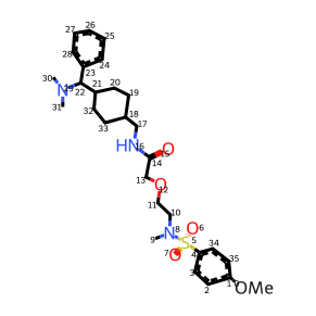 COc1ccc(S(=O)(=O)N(C)CCOCC(=O)NCC2CCC(C(c3ccccc3)N(C)C)CC2)cc1